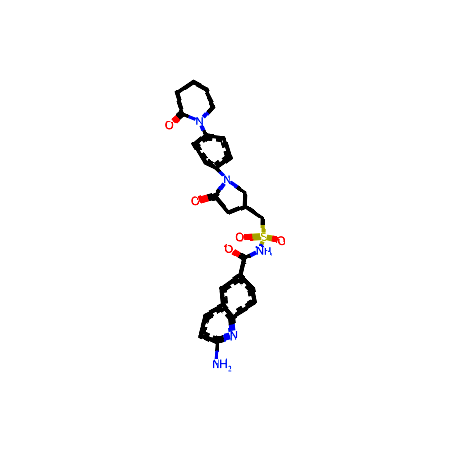 Nc1ccc2cc(C(=O)NS(=O)(=O)CC3CC(=O)N(c4ccc(N5CCCCC5=O)cc4)C3)ccc2n1